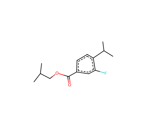 CC(C)COC(=O)c1ccc(C(C)C)c(F)c1